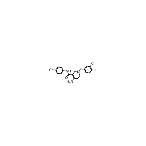 NC1=C(C(=O)Nc2ccc(Cl)cc2)CN(Cc2ccc(F)c(Cl)c2)CC1